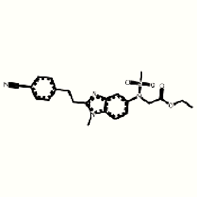 CCOC(=O)CN(c1ccc2c(c1)nc(CCc1ccc(C#N)cc1)n2C)S(C)(=O)=O